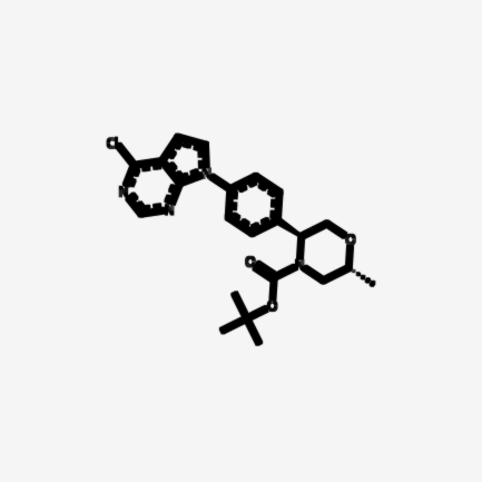 C[C@@H]1CN(C(=O)OC(C)(C)C)[C@@H](c2ccc(-n3ccc4c(Cl)ncnc43)cc2)CO1